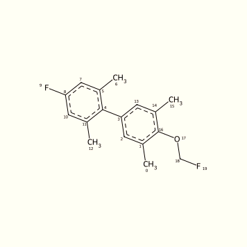 Cc1cc(-c2c(C)cc(F)cc2C)cc(C)c1OCF